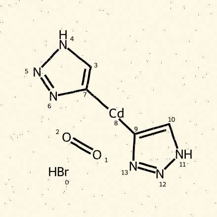 Br.O=O.c1[nH]nn[c]1[Cd][c]1c[nH]nn1